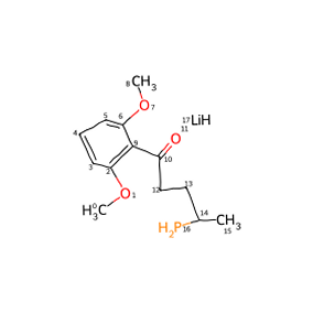 COc1cccc(OC)c1C(=O)CCC(C)P.[LiH]